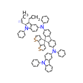 C=Cc1c(/C=C\C)n(-c2ccccc2)c2ccc(N(c3ccccc3)c3ccc4c(c3)C3(c5cc(N(c6ccccc6)c6ccc7c(c6)c6ccccc6n7-c6ccccc6)ccc5-4)c4ccsc4-c4sccc43)cc12